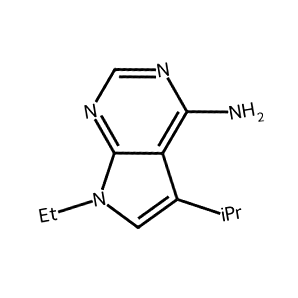 CCn1cc(C(C)C)c2c(N)ncnc21